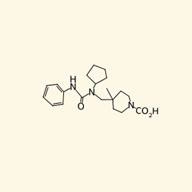 CC1(CN(C(=O)Nc2ccccc2)C2CCCC2)CCN(C(=O)O)CC1